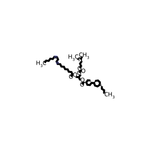 CCCCC/C=C\C/C=C\CCCCCCCC(=O)OCC(COC(=O)OCCCN(CC)CC)COC(=O)[C@H]1CC[C@H]([C@H]2CCC[C@H](CCCCC)CC2)CC1